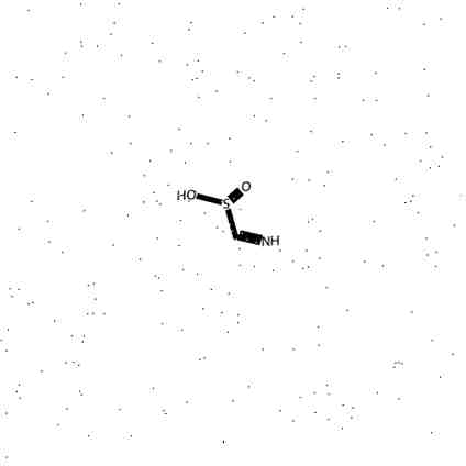 N=CS(=O)O